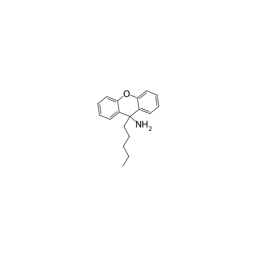 CCCCCC1(N)c2ccccc2Oc2ccccc21